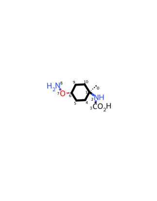 C[C@]1(NC(=O)O)CC[C@H](ON)CC1